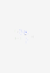 C[C@@H]1NCCc2c1nnn2-c1ncc(F)cn1.Cl